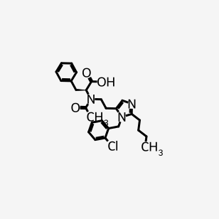 CCCCc1ncc(CCN(C(C)=O)[C@@H](Cc2ccccc2)C(=O)O)n1Cc1ccccc1Cl